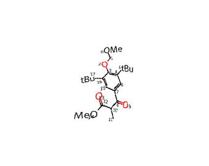 COCOc1c(C(C)(C)C)cc(C(=O)C(C)C(=O)OC)cc1C(C)(C)C